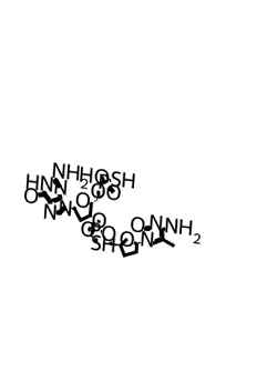 Cc1cn([C@@H]2CC[C@@H](COP(=O)(S)O[C@@H]3C[C@H](n4cnc5c(=O)[nH]c(N)nc54)O[C@@H]3COP(=O)(O)S)O2)c(=O)nc1N